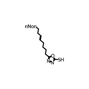 CCCCCCCCCCCC=CCCCCc1nnc(S)o1